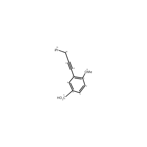 COc1ccc(C(=O)O)cc1C#CCC(C)C